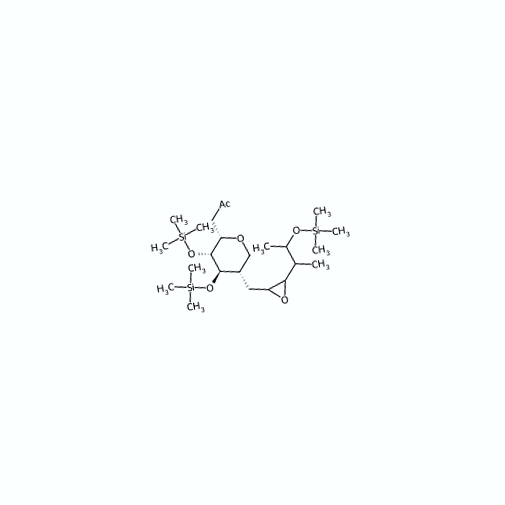 CC(=O)C[C@@H]1OC[C@H](CC2OC2C(C)C(C)O[Si](C)(C)C)[C@@H](O[Si](C)(C)C)[C@@H]1O[Si](C)(C)C